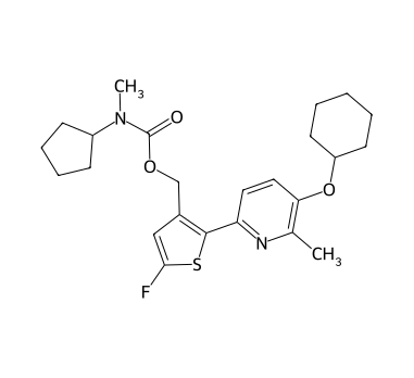 Cc1nc(-c2sc(F)cc2COC(=O)N(C)C2CCCC2)ccc1OC1CCCCC1